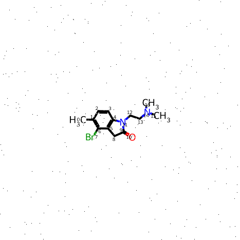 Cc1ccc2c(c1Br)CC(=O)N2CCN(C)C